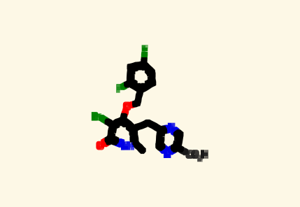 Cc1[nH]c(=O)c(Br)c(OCc2ccc(F)cc2F)c1Cc1cnc(C(=O)O)cn1